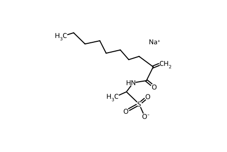 C=C(CCCCCCCC)C(=O)NC(C)S(=O)(=O)[O-].[Na+]